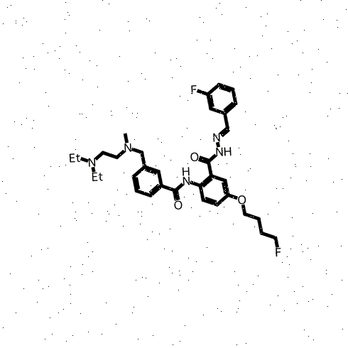 CCN(CC)CCN(C)Cc1cccc(C(=O)Nc2ccc(OCCCCF)cc2C(=O)NN=Cc2cccc(F)c2)c1